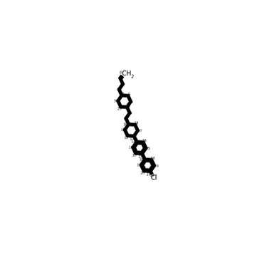 C=CCCC1CCC(CCC2CCC(c3ccc(-c4ccc(Cl)cc4)cc3)CC2)CC1